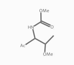 COC(=O)NC(C(C)=O)C(C)OC